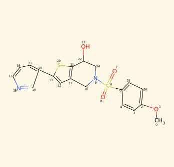 COc1ccc(S(=O)(=O)N2[C]c3cc(-c4cccnc4)sc3C(O)C2)cc1